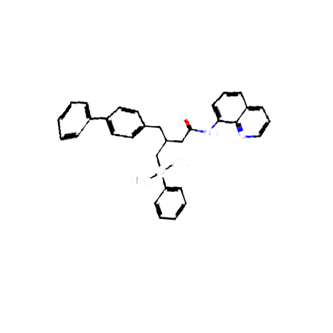 C[Si](C)(CC(CC(=O)Nc1cccc2cccnc12)Cc1ccc(-c2ccccc2)cc1)c1ccccc1